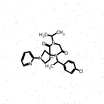 CC(C)N1CC(=O)N(C(C)c2ccc(Cl)cc2)[C@@]2(CCN(c3ccccn3)C2)C1=O